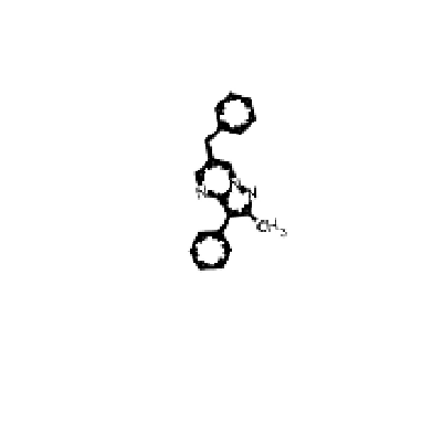 Cc1nn2cc(Cc3ccccc3)cnc2c1-c1ccccc1